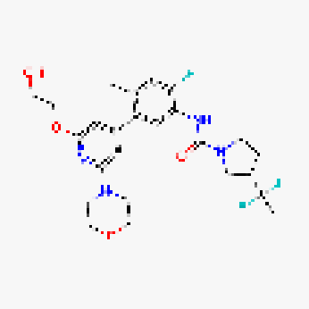 Cc1cc(F)c(NC(=O)N2CC[C@H](C(C)(F)F)C2)cc1-c1cc(OCCO)nc(N2CCOCC2)c1